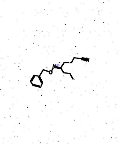 CCC/C(CCCC#N)=N\OCc1ccccc1